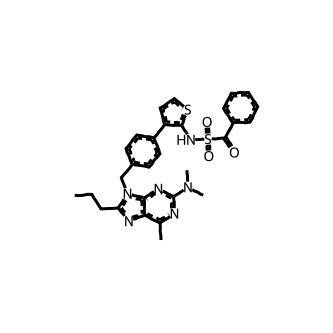 CCCc1nc2c(C)nc(N(C)C)nc2n1Cc1ccc(-c2ccsc2NS(=O)(=O)C(=O)c2ccccc2)cc1